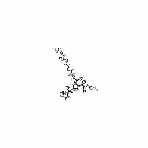 CCNCCOCCOCCOCC(=O)N1CC(OC(=O)C2CCCN2)CC1C(=O)NCC